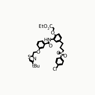 CCOC(=O)COc1ccc(CCCS(=O)(=O)c2ccc(Cl)cc2)cc1NC(=O)c1cccc(OCc2nc(C(C)(C)C)cs2)c1